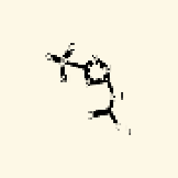 CC(=O)Nc1nnc(S(=O)(=O)S)s1